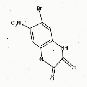 O=C1[N]c2cc([N+](=O)[O-])c(Br)cc2NC1=O